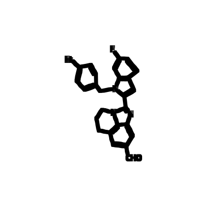 CCc1ccc(Cn2c(-c3nc4cc(C=O)cc5c4n3CCC5)cc3ccc(F)cc32)cc1